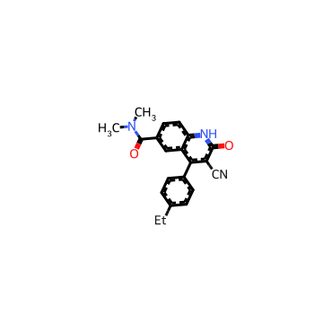 CCc1ccc(-c2c(C#N)c(=O)[nH]c3ccc(C(=O)N(C)C)cc23)cc1